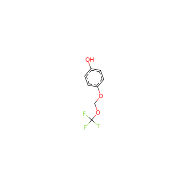 Oc1ccc(OCOC(F)(F)F)cc1